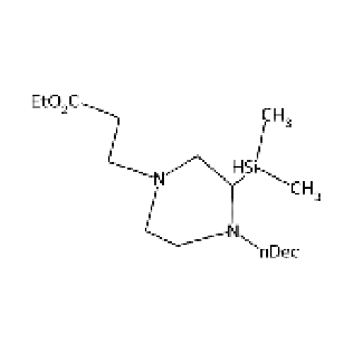 CCCCCCCCCCN1CCN(CCC(=O)OCC)CC1[SiH](C)C